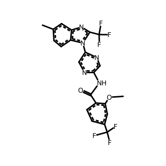 COc1cc(C(F)(F)F)ccc1C(=O)Nc1cnc(-n2c(C(F)(F)F)nc3cc(C)ccc32)cn1